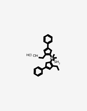 CCC1=[C]([Zr]([CH3])([CH3])(=[SiH2])[C]2=C(CC)C=C(c3ccccc3)C2)CC(c2ccccc2)=C1.Cl.Cl